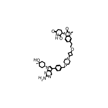 Cn1c(=O)n(C2CCC(=O)NC2=O)c2ccc(CCOC3CC(N4CCN(Cc5ccc(-c6cn([C@H]7CC[C@@](C)(O)CC7)c7nc(N)ncc67)cc5)CC4)C3)cc21